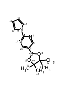 CC1(C)OB(c2cnc(-n3cccc3)nc2)OC1(C)C